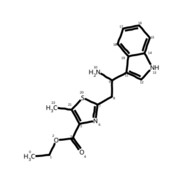 CCOC(=O)c1nc(CC(N)c2c[nH]c3ccccc23)sc1C